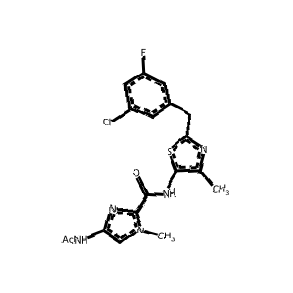 CC(=O)Nc1cn(C)c(C(=O)Nc2sc(Cc3cc(F)cc(Cl)c3)nc2C)n1